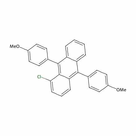 COc1ccc(-c2c3ccccc3c(-c3ccc(OC)cc3)c3c(Cl)cccc23)cc1